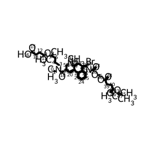 CCN(CCCC(C)(C)OC(=O)CCC(=O)O)C(=O)[C@@H]1C=C2c3cccc4c3c(c(Br)n4C(=O)OCOC(=O)CCC(=O)OC(C)(C)C)C[C@H]2N(C)C1